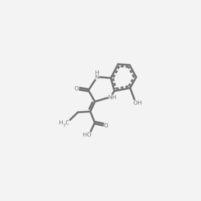 CCC(C(=O)O)=C1Nc2c(O)cccc2NC1=O